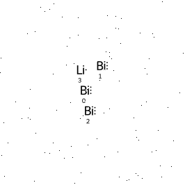 [Bi].[Bi].[Bi].[Li]